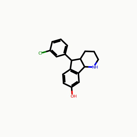 Oc1ccc2c(c1)C1NCCCC1C2c1cccc(Cl)c1